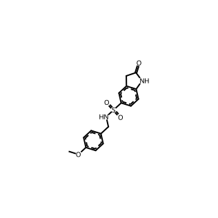 COc1ccc(CNS(=O)(=O)c2ccc3c(c2)CC(=O)N3)cc1